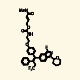 CNC(=O)/C=C/COC(=O)NCCOc1ccc(/C(=C(/CC(F)(F)F)c2ccccc2)c2ccc3c(c2)c(F)nn3C2CCCCO2)cc1